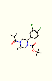 CC(C)C(=O)N1CC(c2ccc(F)c(F)c2)N(C(=O)OC(C)(C)C)C[C@H]1C